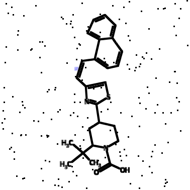 CC(C)(C)C1CC(c2nc(/C=C\c3cccc4ccccc34)cs2)CCN1C(=O)O